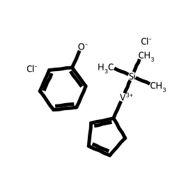 C[Si](C)(C)[V+3][C]1=CC=CC1.[Cl-].[Cl-].[O-]c1ccccc1